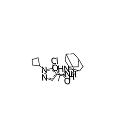 CC(=O)N[C@]12CC3CC(C1)[C@@H](NC(=O)c1cnn(C4CCC4)c1Cl)C(C3)C2